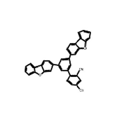 N#Cc1ccc(-c2cc(-c3ccc4c(c3)oc3ccccc34)cc(-c3ccc4c(c3)oc3ccccc34)c2)c(C#N)c1